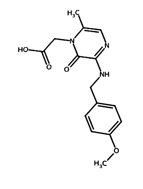 COc1ccc(CNc2ncc(C)n(CC(=O)O)c2=O)cc1